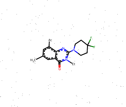 CCn1c(N2CCC(F)(F)CC2)nc2c(C(C)=O)cc(C)cc2c1=O